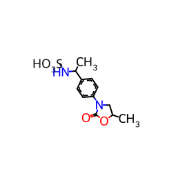 CC1CN(c2ccc(C(C)NS(=O)(=O)O)cc2)C(=O)O1